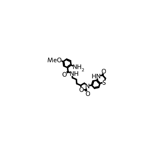 COc1ccc(N)c(C(=O)NCCCC2CN(c3ccc4c(c3)NC(=O)CS4)C(=O)O2)c1